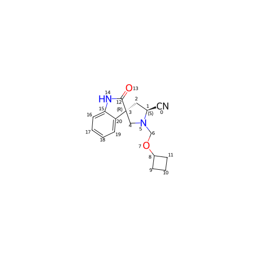 N#C[C@@H]1C[C@@]2(CN1COC1CCC1)C(=O)Nc1ccccc12